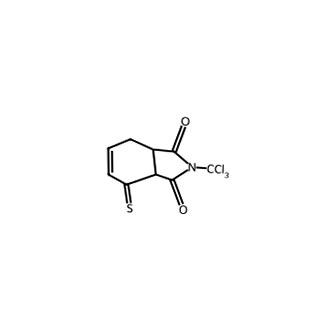 O=C1C2CC=CC(=S)C2C(=O)N1C(Cl)(Cl)Cl